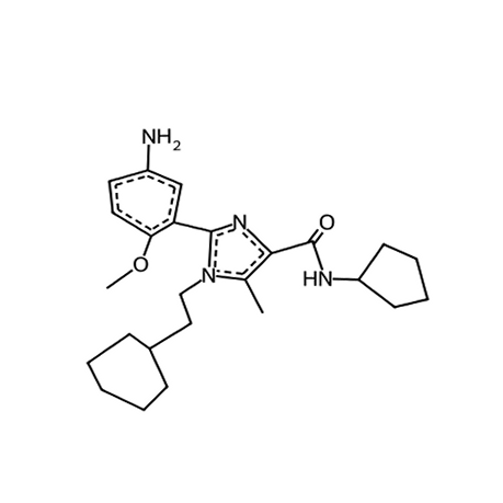 COc1ccc(N)cc1-c1nc(C(=O)NC2CCCC2)c(C)n1CCC1CCCCC1